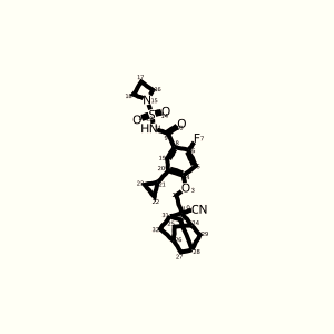 N#CC1(COc2cc(F)c(C(=O)NS(=O)(=O)N3CCC3)cc2C2CC2)C2CC3CC(C2)CC1C3